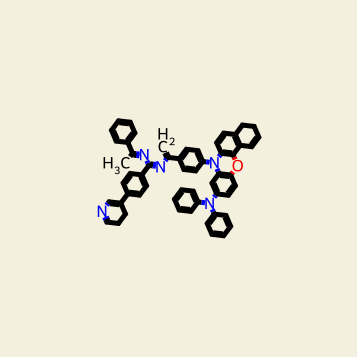 C=C(/N=C(\N=C(/C)c1ccccc1)c1ccc(C2=CN=CCC2)cc1)c1ccc(N2c3cc(N(c4ccccc4)c4ccccc4)ccc3Oc3c2ccc2c3C=CCC2)cc1